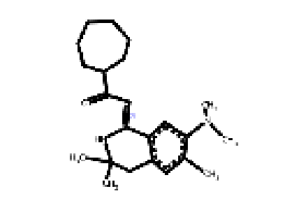 Cc1cc2c(cc1N(C)C)/C(=C/C(=O)C1CCCCCC1)NC(C)(C)C2